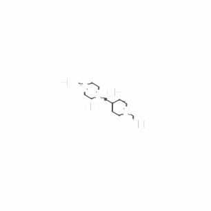 CCN1CCC(C(C)(C)N2CCN(C)CC2)CC1